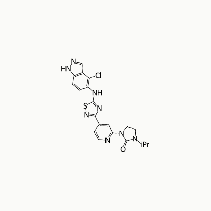 CC(C)N1CCN(c2cc(-c3nsc(Nc4ccc5[nH]ncc5c4Cl)n3)ccn2)C1=O